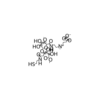 COC1OC(C(=O)NCCS)[C@@H](OC2OC(C(=O)NCC[N+](C)(C)CCCS(=O)(=O)[O-])[C@@H](OC)[C@H](O)[C@H]2O)[C@H](O)[C@H]1O